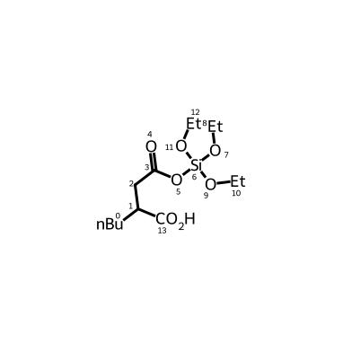 CCCCC(CC(=O)O[Si](OCC)(OCC)OCC)C(=O)O